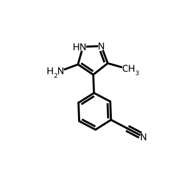 Cc1n[nH]c(N)c1-c1cccc(C#N)c1